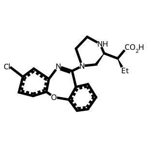 CC[C@H](C(=O)O)[C@H]1CN(C2=Nc3cc(Cl)ccc3Oc3ccccc32)CCN1